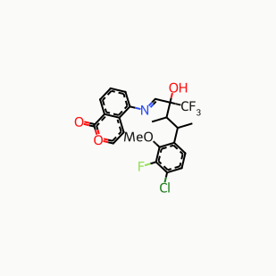 COc1c(C(C)C(C)C(O)(C=Nc2cccc3c(=O)occc23)C(F)(F)F)ccc(Cl)c1F